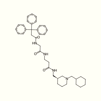 O=C(CCNC(=O)CNC(=O)CC(c1ccccc1)(c1ccccc1)c1ccccc1)NC[C@@H]1CCCN(CC2CCCCC2)C1